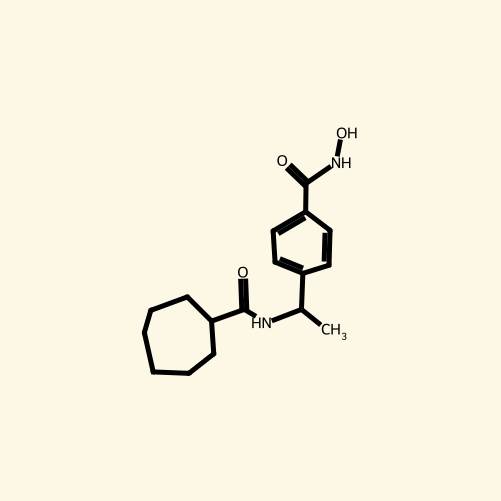 CC(NC(=O)C1CCCCCC1)c1ccc(C(=O)NO)cc1